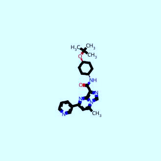 Cc1cc(-c2cccnc2)nc2c(C(=O)N[C@H]3CC[C@H](OC(C)(C)C)CC3)ncn12